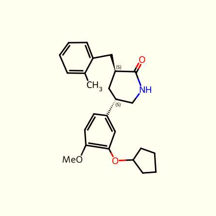 COc1ccc([C@H]2CNC(=O)[C@H](Cc3ccccc3C)C2)cc1OC1CCCC1